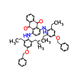 CCc1cc(OCc2ccccc2)cc(CC)c1Nc1ccc(Nc2c(CC)cc(OCc3ccccc3)cc2CC)c2c1C(=O)c1ccccc1C2=O